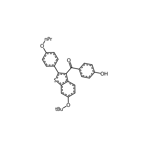 CCCOc1ccc(-c2sc3cc(OC(C)(C)C)ccc3c2C(=O)c2ccc(O)cc2)cc1